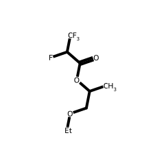 CCOCC(C)OC(=O)C(F)C(F)(F)F